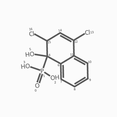 O=P(O)(O)C1(O)c2ccccc2C(Cl)=CC1Cl